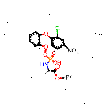 CC(C)OC(=O)[C@H](C)NP(=O)(O)OOc1ccccc1Oc1ccc([N+](=O)[O-])cc1Cl